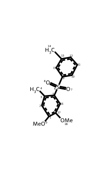 COc1cc(C)c(S(=O)(=O)c2cccc(C)c2)cc1OC